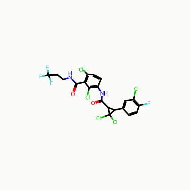 O=C(NCCC(F)(F)F)c1c(Cl)ccc(NC(=O)C2C(c3ccc(F)c(Cl)c3)C2(Cl)Cl)c1Cl